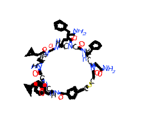 CC(C)C[C@H]1CN(C(=O)CC2CC2)CC(=O)N[C@@H](CCCCN)CN(C(=O)CCc2ccccc2)CC(=O)N[C@@H](Cc2ccccc2)CN(CC(N)=O)C(=O)CCSCc2ccc(cc2)C(=O)N[C@@H](Cc2ccccc2)CN(C(=O)CC2CC2)CC(=O)N1